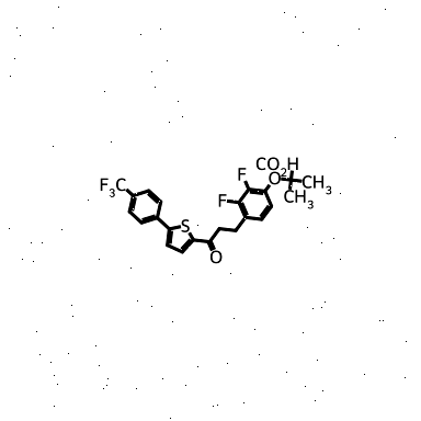 CC(C)(Oc1ccc(CCC(=O)c2ccc(-c3ccc(C(F)(F)F)cc3)s2)c(F)c1F)C(=O)O